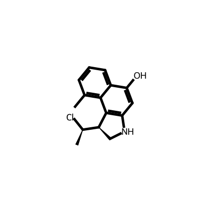 Cc1cccc2c(O)cc3c(c12)[C@H]([C@@H](C)Cl)CN3